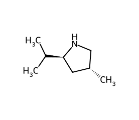 CC(C)[C@@H]1C[C@@H](C)CN1